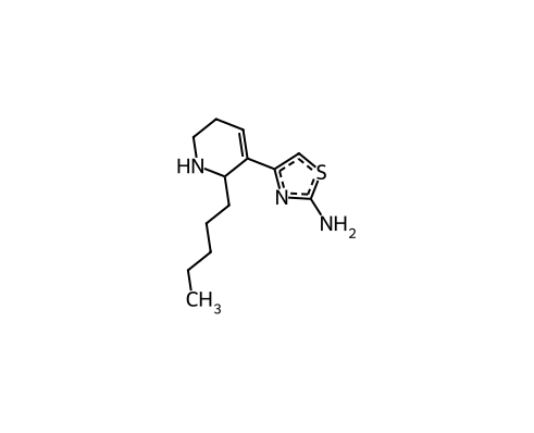 CCCCCC1NCCC=C1c1csc(N)n1